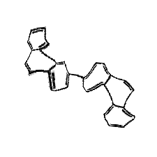 c1ccc2c(c1)ccc1ccc(-c3ccc4ccc5ccccc5c4c3)cc12